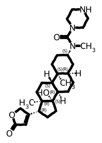 CN(C(=O)N1CCNCC1)[C@H]1CC[C@@]2(C)[C@H](CC[C@@H]3[C@@H]2CC[C@]2(C)[C@@H](C4=CC(=O)OC4)CC[C@]32O)C1